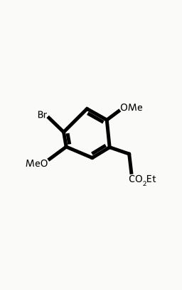 CCOC(=O)Cc1cc(OC)c(Br)cc1OC